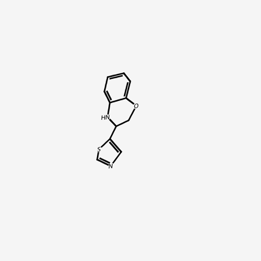 c1ccc2c(c1)NC(c1cncs1)CO2